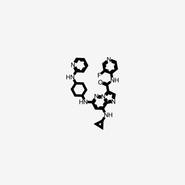 O=C(Nc1ccncc1F)c1cnc2c(NC3CC3)cc(NC3CCC(Nc4ccccn4)CC3)nn12